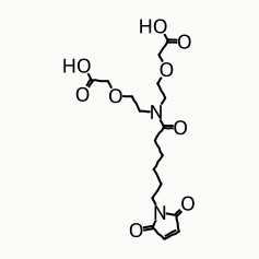 O=C(O)COCCN(CCOCC(=O)O)C(=O)CCCCCN1C(=O)C=CC1=O